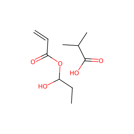 C=CC(=O)OC(O)CC.CC(C)C(=O)O